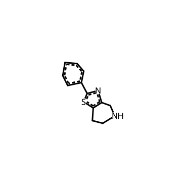 c1ccc(-c2nc3c(s2)CCNC3)cc1